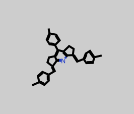 Cc1ccc(C=C2CCc3c2nc2c(c3-c3ccc(C)cc3)CCC2=Cc2ccc(C)cc2)cc1